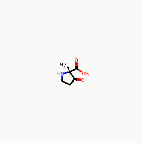 C[C@]1(C(=O)O)NCCC1=O